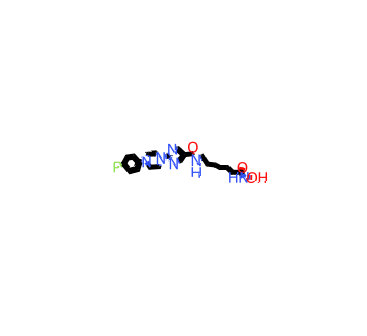 O=C(CCCCCCNC(=O)c1cnc(N2CCN(c3ccc(F)cc3)CC2)nc1)NO